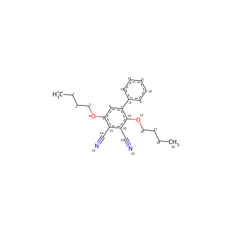 CCCCOc1cc(-c2ccccc2)c(OCCCC)c(C#N)c1C#N